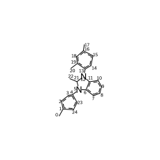 Cc1ccc(N2c3ccccc3N(c3ccc(C)cc3C)C2C)cc1